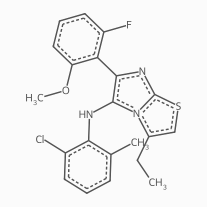 CCc1csc2nc(-c3c(F)cccc3OC)c(Nc3c(C)cccc3Cl)n12